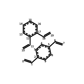 C=Cc1ccc(C=C)cc1.C=Cc1ccccc1C=C